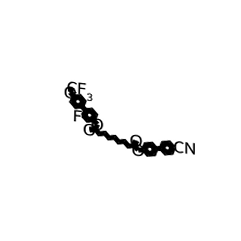 N#Cc1ccc(-c2ccc(OC(=O)CCCCCCCC(=O)Oc3ccc(-c4ccc(OC(F)(F)F)cc4)c(F)c3)cc2)cc1